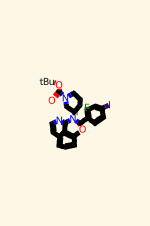 Cc1cccc2ccnc(N(C(=O)c3ccc(I)cc3F)[C@@H]3CCCN(C(=O)OC(C)(C)C)C3)c12